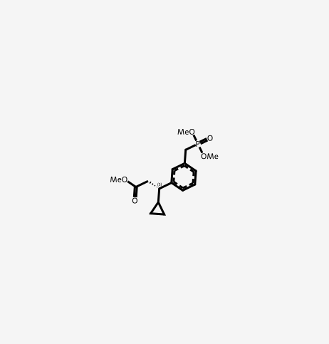 COC(=O)C[C@H](c1cccc(CP(=O)(OC)OC)c1)C1CC1